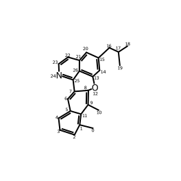 Cc1cccc2cc3c(c(C)c12)Oc1cc(CC(C)C)cc2ccnc-3c12